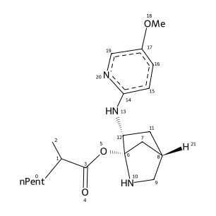 CCCCCC(C)C(=O)O[C@]12C[C@@H](CN1)C[C@H]2Nc1ccc(OC)cn1